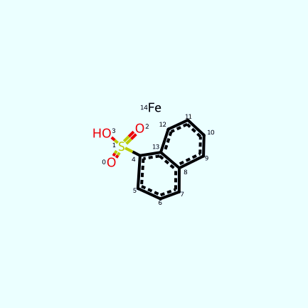 O=S(=O)(O)c1cccc2ccccc12.[Fe]